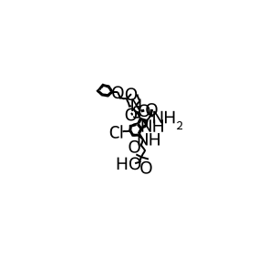 CC(C)(CC(=O)Nc1cc(Cl)cc2c(S(=O)(=O)N3CCOC(COc4ccccc4)C3)c(C(N)=O)[nH]c12)C(=O)O